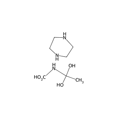 C1CNCCN1.CC(O)(O)NC(=O)O